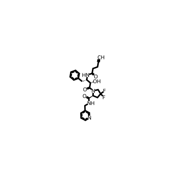 C#CCCC(=O)N[C@@H](Cc1ccccc1)[C@H](O)C(=O)N1CC(F)(F)C[C@H]1C(=O)NCc1cccnc1